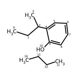 CCC(C)c1ccccc1O.CCCC